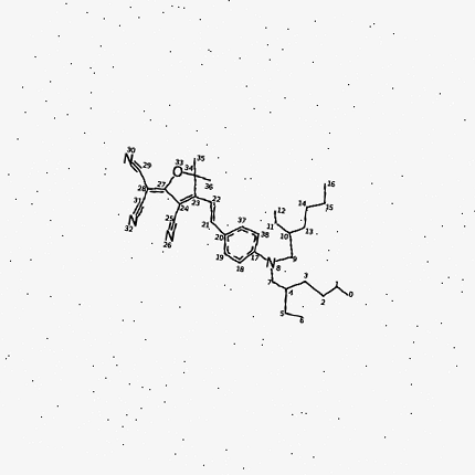 CCCCC(CC)CN(CC(CC)CCCC)c1ccc(C=CC2=C(C#N)C(=C(C#N)C#N)OC2(C)C)cc1